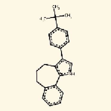 CC(C)(C)c1ccc(-c2c[nH]c3c2CCCc2ccccc2-3)cc1